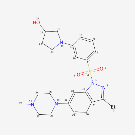 CCc1nn(S(=O)(=O)c2cccc(N3CCC(O)C3)c2)c2cc(N3CCN(C)CC3)ccc12